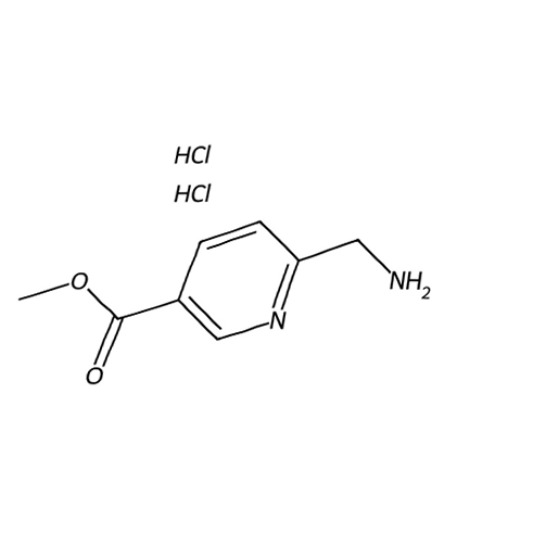 COC(=O)c1ccc(CN)nc1.Cl.Cl